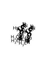 Cc1cc2ncnn2cc1C1=C(C#N)CN(S(=O)(=O)c2cnn(C)c2C)CC1.Cc1cc2ncnn2cc1C1=C(C#N)CN(S(=O)(=O)c2cnn(C)c2Cl)CC1